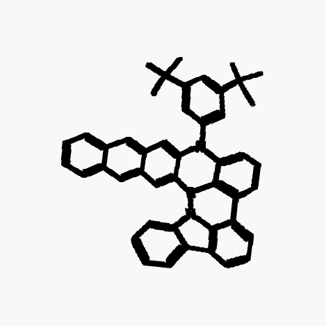 CC(C)(C)c1cc(N2c3cc4cc5ccccc5cc4cc3B3c4c(cccc42)-c2cccc4c5ccccc5n3c24)cc(C(C)(C)C)c1